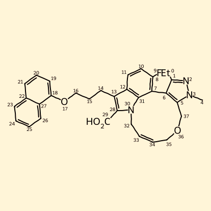 CCc1nn(C)c2c1-c1c(F)ccc3c(CCCOc4cccc5ccccc45)c(C(=O)O)n(c13)C/C=C\COC2